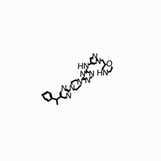 CC(c1ccccc1)c1cnc(N2CCN(c3ncnc(Nc4cnn(CC5CNCCO5)c4)n3)CC2)nc1